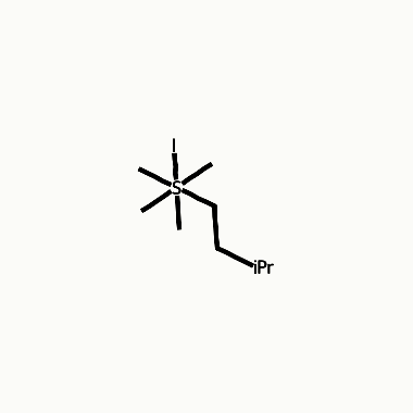 CC(C)CCS(C)(C)(C)(C)I